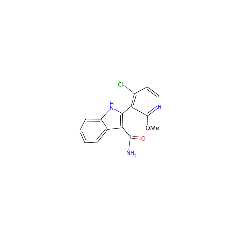 COc1nccc(Cl)c1-c1[nH]c2c[c]ccc2c1C(N)=O